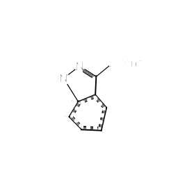 CCCCCC1=[N+]Nc2ccccc21